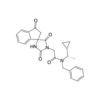 C[C@@H](C1CC1)N(Cc1ccccc1)C(=O)CN1C(=O)NC2(CC(=O)c3ccccc32)C1=O